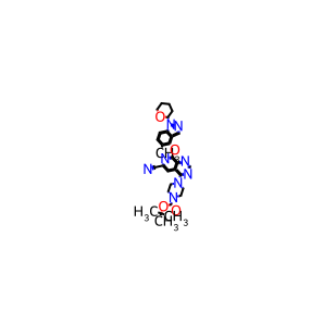 Cc1ccc2c(cnn2C2CCCCO2)c1Oc1nc(C#N)cc2c(N3CCN(C(=O)OC(C)(C)C)CC3)ncnc12